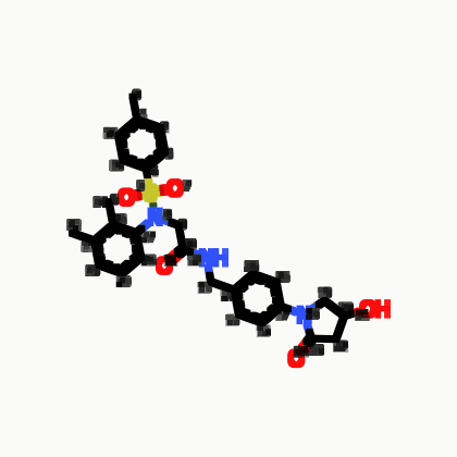 Cc1ccc(S(=O)(=O)N(CC(=O)NCc2ccc(N3CC(O)CC3=O)cc2)c2cccc(C)c2C)cc1